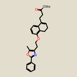 COC(=O)CCC1=CCCc2c(OCCc3nc(-c4ccccc4)oc3C)cccc21